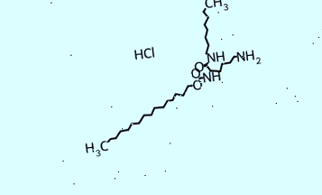 CCCCCCCCCCCCCCCCOC(=O)NC(CCCCN)C(=O)NCCCCCCCC.Cl